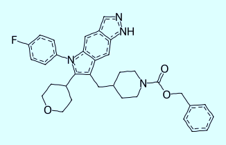 O=C(OCc1ccccc1)N1CCC(Cc2c(C3CCOCC3)n(-c3ccc(F)cc3)c3cc4cn[nH]c4cc23)CC1